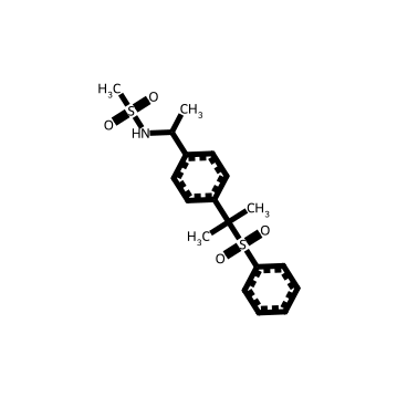 CC(NS(C)(=O)=O)c1ccc(C(C)(C)S(=O)(=O)c2ccccc2)cc1